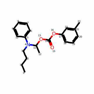 CCCCN(c1ccccc1)C(C)OC(=O)Oc1cccc(C)c1